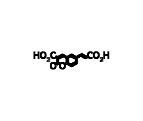 O=C(O)/C=C/c1ccc2oc(=O)c(C(=O)O)cc2c1